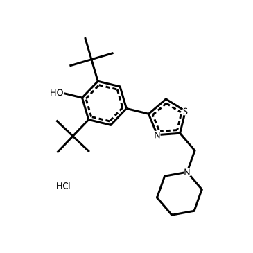 CC(C)(C)c1cc(-c2csc(CN3CCCCC3)n2)cc(C(C)(C)C)c1O.Cl